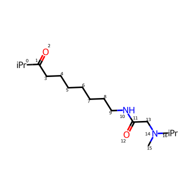 CC(C)C(=O)CCCCCCCNC(=O)CN(C)C(C)C